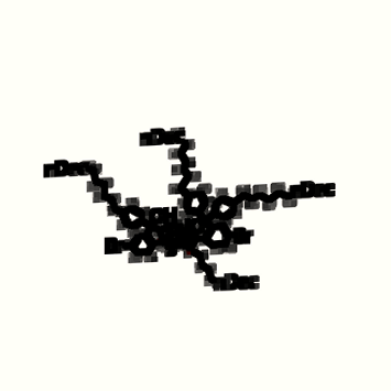 CCCCCCCCCCCCCCCCc1ccc(C(O)(c2ccc(CCCCCCCCCCCCCCCC)cc2)c2cc(Br)ccc2-c2cc3sc(-c4ccc(Br)cc4C(O)(c4ccc(CCCCCCCCCCCCCCCC)cc4)c4ccc(CCCCCCCCCCCCCCCC)cc4)cc3s2)cc1